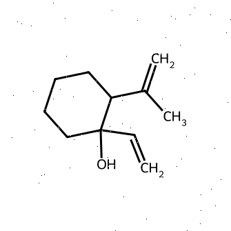 C=CC1(O)CCCCC1C(=C)C